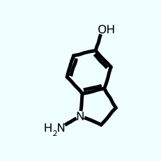 NN1CCc2cc(O)ccc21